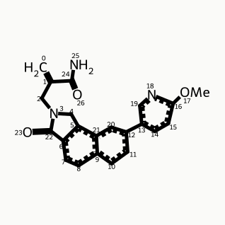 C=C(CN1Cc2c(ccc3ccc(-c4ccc(OC)nc4)cc23)C1=O)C(N)=O